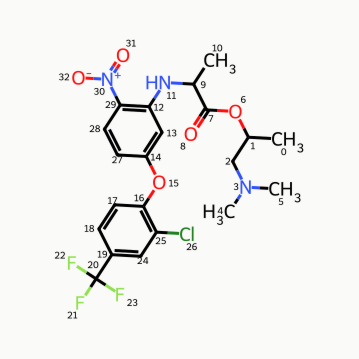 CC(CN(C)C)OC(=O)C(C)Nc1cc(Oc2ccc(C(F)(F)F)cc2Cl)ccc1[N+](=O)[O-]